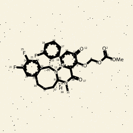 COC(=O)OCOc1c2n(ccc1=O)N1[C@@H](c3ccccc3F)c3cc(F)c(F)cc3CCC[C@@H]1N(C)C2=O